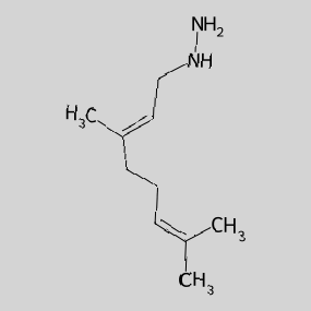 CC(C)=CCCC(C)=CCNN